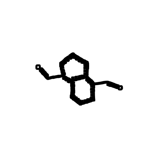 O=Cc1cccc2c(C=O)cccc12